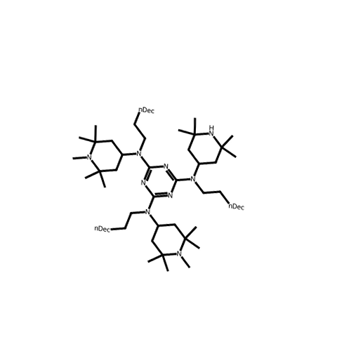 CCCCCCCCCCCCN(c1nc(N(CCCCCCCCCCCC)C2CC(C)(C)N(C)C(C)(C)C2)nc(N(CCCCCCCCCCCC)C2CC(C)(C)N(C)C(C)(C)C2)n1)C1CC(C)(C)NC(C)(C)C1